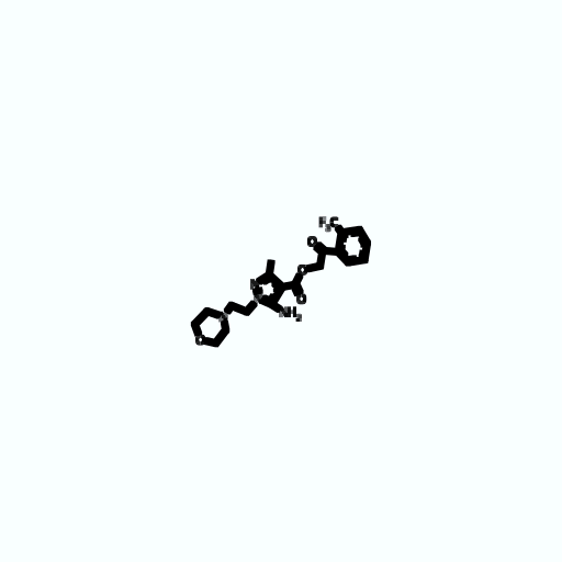 Cc1nn(CCN2CCOCC2)c(N)c1C(=O)OCC(=O)c1ccccc1C(F)(F)F